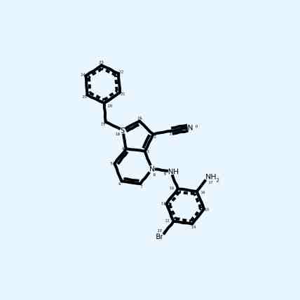 N#CC1=C2C(=CC=CN2Nc2cc(Br)ccc2N)S(Cc2ccccc2)=C1